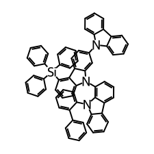 c1ccc(-c2ccccc2-n2c3ccccc3c3cccc(-n4c5cc(-n6c7ccccc7c7ccccc76)ccc5c5c([Si](c6ccccc6)(c6ccccc6)c6ccccc6)cccc54)c32)cc1